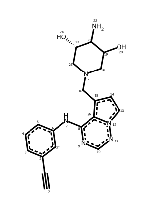 C#Cc1cccc(Nc2ncnn3ccc(CN4CC(O)C(N)[C@@H](O)C4)c23)c1